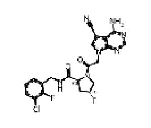 N#Cc1cn(CC(=O)N2C[C@H](F)C[C@H]2C(=O)NCc2cccc(Cl)c2F)c2ncnc(N)c12